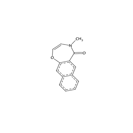 CN1C=COc2cc3ccccc3cc2C1=O